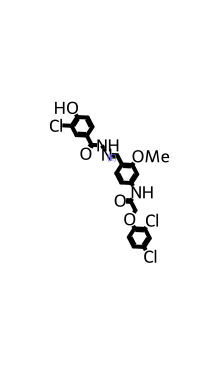 COc1cc(NC(=O)COc2ccc(Cl)cc2Cl)ccc1/C=N/NC(=O)c1ccc(O)c(Cl)c1